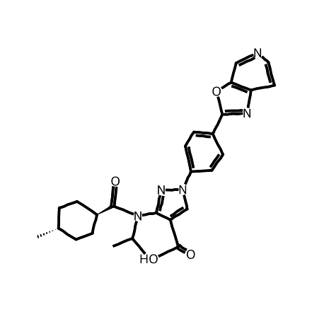 CC(C)N(c1nn(-c2ccc(-c3nc4ccncc4o3)cc2)cc1C(=O)O)C(=O)[C@H]1CC[C@H](C)CC1